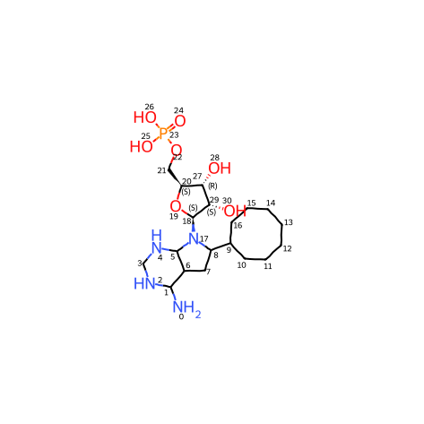 NC1NCNC2C1CC(C1CCCCCCC1)N2[C@H]1O[C@@H](COP(=O)(O)O)[C@H](O)[C@@H]1O